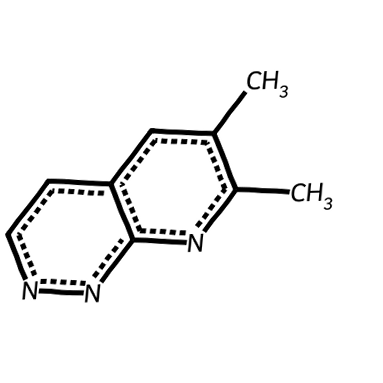 Cc1cc2ccnnc2nc1C